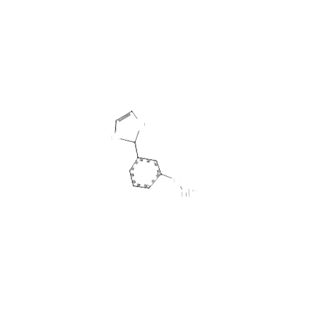 CCCOc1cccc(C2OC=CO2)c1